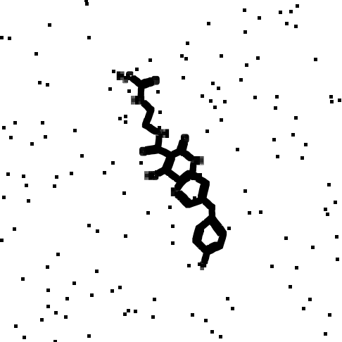 CC(=O)NCCNC(=O)c1c(O)c2ncc(Cc3ccc(F)cc3)cc2[nH]c1=O